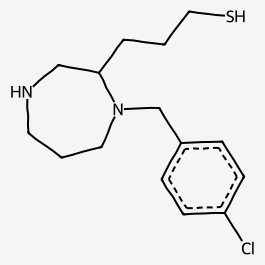 SCCCC1CNCCCN1Cc1ccc(Cl)cc1